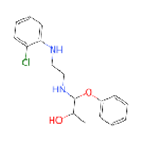 CC(O)C(NCCNc1ccccc1Cl)Oc1ccccc1